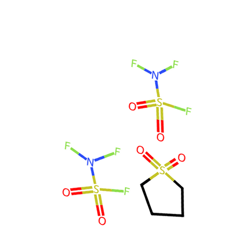 O=S(=O)(F)N(F)F.O=S(=O)(F)N(F)F.O=S1(=O)CCCC1